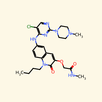 CCCCn1c(=O)c(OCC(=O)NC)cc2cc(Nc3nc(N4CCN(C)CC4)ncc3Cl)ccc21